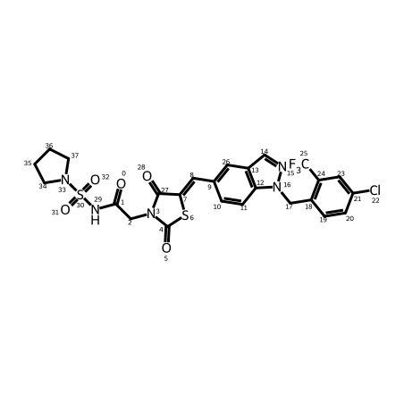 O=C(CN1C(=O)S/C(=C\c2ccc3c(cnn3Cc3ccc(Cl)cc3C(F)(F)F)c2)C1=O)NS(=O)(=O)N1CCCC1